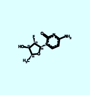 C[C@H]1O[C@@H](n2ccc(N)nc2=O)[C@@H](F)[C@@H]1O